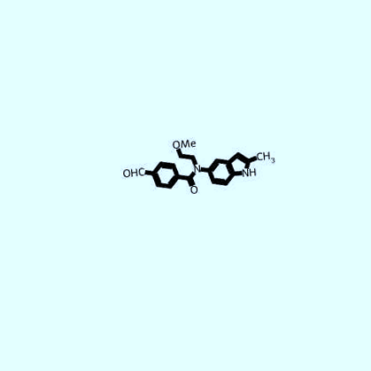 COCCN(C(=O)c1ccc(C=O)cc1)c1ccc2[nH]c(C)cc2c1